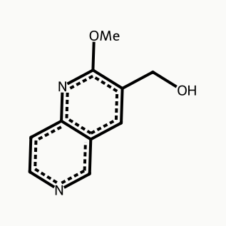 COc1nc2ccncc2cc1CO